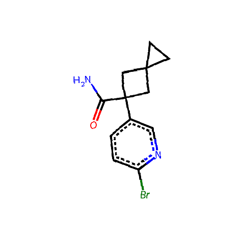 NC(=O)C1(c2ccc(Br)nc2)CC2(CC2)C1